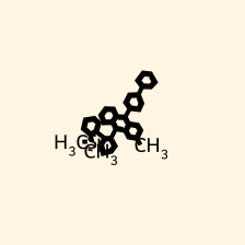 Cc1ccc2c(-c3ccc(-c4ccccc4)cc3)c3ccccc3c(-c3cccc4c3-c3ccccc3[Si]4(C)C)c2c1